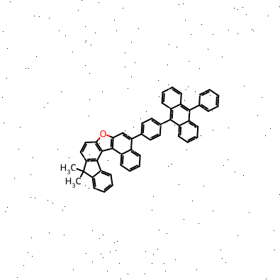 CC1(C)c2ccccc2-c2c1ccc1oc3cc(-c4ccc(-c5c6ccccc6c(-c6ccccc6)c6ccccc56)cc4)c4ccccc4c3c21